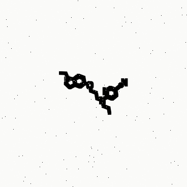 CCCN(CCCOc1ccc2c(c1)CC[C@H]2CC)c1ccc(C#N)cn1